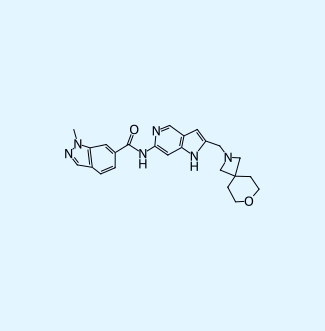 Cn1ncc2ccc(C(=O)Nc3cc4[nH]c(CN5CC6(CCOCC6)C5)cc4cn3)cc21